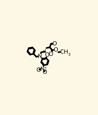 CCOC(=O)C(C=O)C[C@H]1CN(Cc2ccccc2)c2cc([N+](=O)[O-])ccc2O1